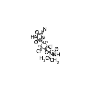 CC(C)n1[nH]c(=O)cc1Oc1c(Cl)cc(-n2nc(C#N)c(=O)[nH]c2=O)cc1Cl